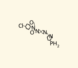 O=C(N1CC2(CN(Cc3ccc(P)cn3)C2)C1)N1CCOc2cc(Cl)ccc21